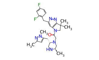 Cc1cc(C[C@H]2CN[C@H](C)CN2CC(=O)N2CC(C)(C)c3nnc(Cc4ccc(F)cc4F)cc32)n(C)n1